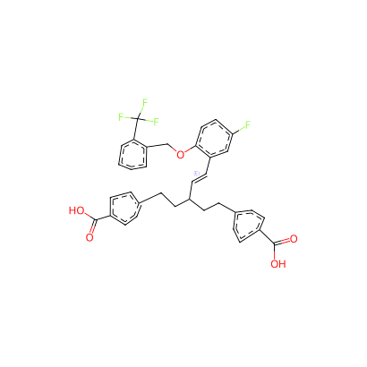 O=C(O)c1ccc(CCC(/C=C/c2cc(F)ccc2OCc2ccccc2C(F)(F)F)CCc2ccc(C(=O)O)cc2)cc1